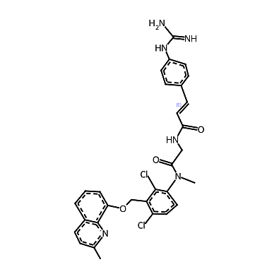 Cc1ccc2cccc(OCc3c(Cl)ccc(N(C)C(=O)CNC(=O)/C=C/c4ccc(NC(=N)N)cc4)c3Cl)c2n1